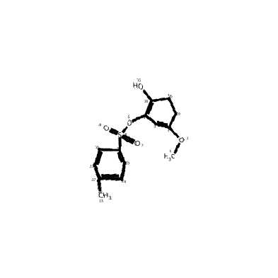 COC1=CC(OS(=O)(=O)c2ccc(C)cc2)=C(O)[CH]C1